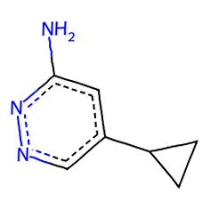 Nc1cc(C2CC2)cnn1